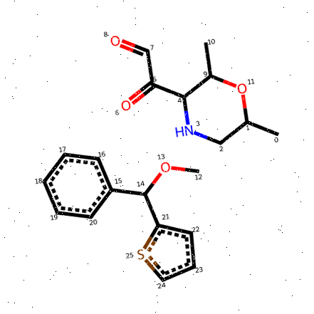 CC1CNC(C(=O)C=O)C(C)O1.COC(c1ccccc1)c1cccs1